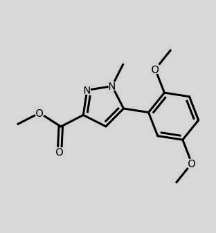 COC(=O)c1cc(-c2cc(OC)ccc2OC)n(C)n1